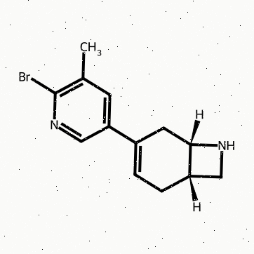 Cc1cc(C2=CC[C@H]3CN[C@H]3C2)cnc1Br